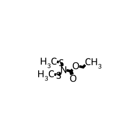 CCOC(=O)N(SC)SC